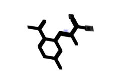 C/C(=C\C1CC(C)CCC1C(C)C)C(=O)O